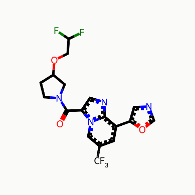 O=C(c1cnc2c(-c3cnco3)cc(C(F)(F)F)cn12)N1CCC(OCC(F)F)C1